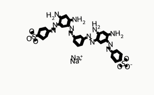 Nc1cc(N)c(N=Nc2cccc(N=Nc3cc(N=Nc4ccc(S(=O)(=O)[O-])cc4)c(N)cc3N)c2)cc1N=Nc1ccc(S(=O)(=O)[O-])cc1.[Na+].[Na+]